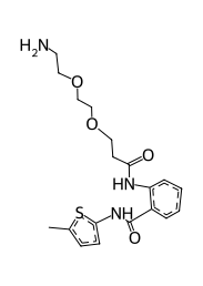 Cc1ccc(NC(=O)c2ccccc2NC(=O)CCOCCOCCN)s1